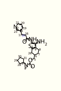 CN(C(=O)OCC1CCc2c(sc(NC(=O)/C=C/c3cccnc3)c2N)C1)C1CCCC1